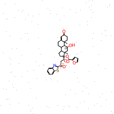 CC12CCC(=O)C=C1CCC1C2[C@@H](O)CC2(C)C1CC[C@]2(OC(=O)c1ccco1)C(=O)C[S@@+]([O-])c1nc2ccccc2s1